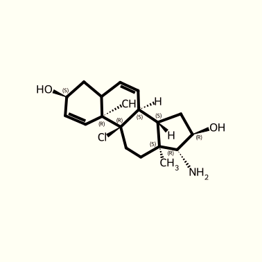 C[C@]12CC[C@@]3(Cl)[C@@H](C=CC4C[C@H](O)C=C[C@@]43C)[C@@H]1C[C@@H](O)[C@@H]2N